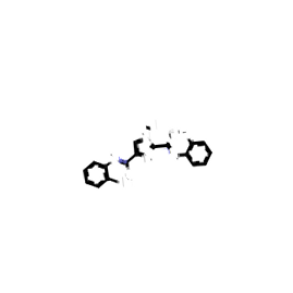 C/C(=N\c1ccccc1C(C)C)c1cn(C)c(/C(C)=N/c2ccccc2C(C)C)n1